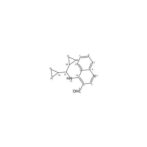 O=Cc1cnc2ccccc2c1NC(C1CC1)C1CC1